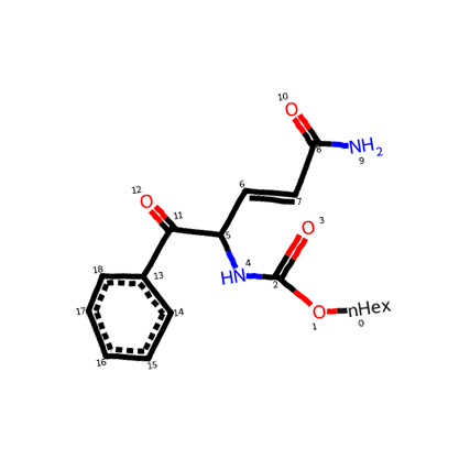 CCCCCCOC(=O)NC(/C=C/C(N)=O)C(=O)c1ccccc1